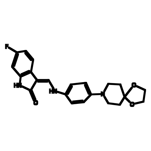 O=C1Nc2cc(F)ccc2C1=CNc1ccc(N2CCC3(CC2)OCCO3)cc1